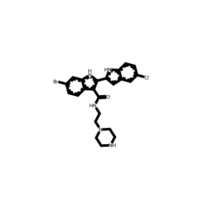 O=C(NCCN1CCNCC1)c1c(-c2cc3cc(Cl)ccc3[nH]2)[nH]c2cc(Br)ccc12